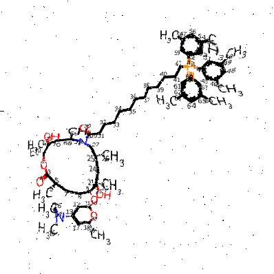 CC[C@H]1OC(=O)[C@H](C)CC[C@@H](O[C@H]2C[C@@H](N(C)C)C[C@@H](C)O2)[C@](C)(O)C[C@@H](C)CN(C(=O)CCCCCCCCCCCC[PH](c2cc(C)cc(C)c2)(c2cc(C)cc(C)c2)c2cc(C)cc(C)c2)[C@H](C)C[C@]1(C)O